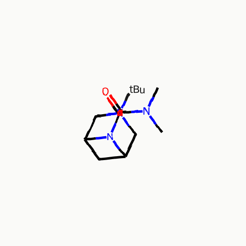 CN(C)C(=O)N1C2CC1CN(C(C)(C)C)C2